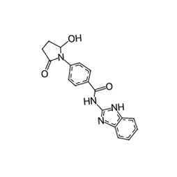 O=C(Nc1nc2ccccc2[nH]1)c1ccc(N2C(=O)CCC2O)cc1